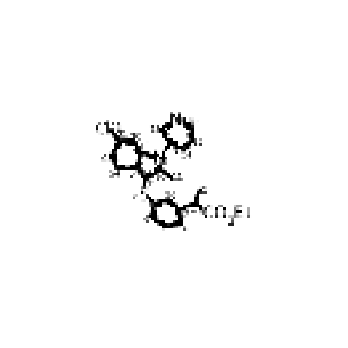 CCOC(=O)C(C)c1cccc(Sc2c(C)n(-c3cccnc3)c3cc(Cl)ccc23)c1